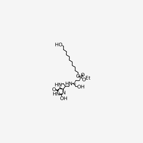 CCOP(=O)(CC[C@@H](CO)NCC1CNc2c1nc(O)[nH]c2=O)OCCCCCCCCCCCO